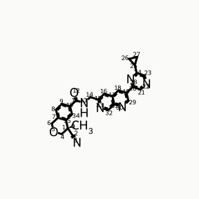 C[C@@]1(C#N)COCc2ccc(C(=O)NCc3cc4cc(-c5cncc(C6CC6)n5)cnc4cn3)cc21